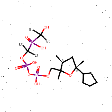 CCC(O)(CC)P(=O)(O)C(CC)(CC)OP(=O)(O)OP(=O)(O)OCC1(C)O[C@@](C)(C2CCCC2)C[C@@H]1C